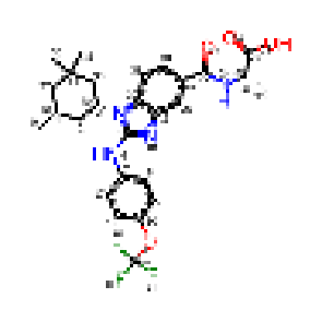 C[C@H]1C[C@@H](n2c(Nc3ccc(OC(F)(F)F)cc3)nc3cc(C(=O)N[C@@H](C)C(=O)O)ccc32)CC(C)(C)C1